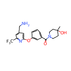 CC1(O)CCN(C(=O)c2cccc(Oc3cc(CN)cc(C(F)(F)F)n3)c2)CC1